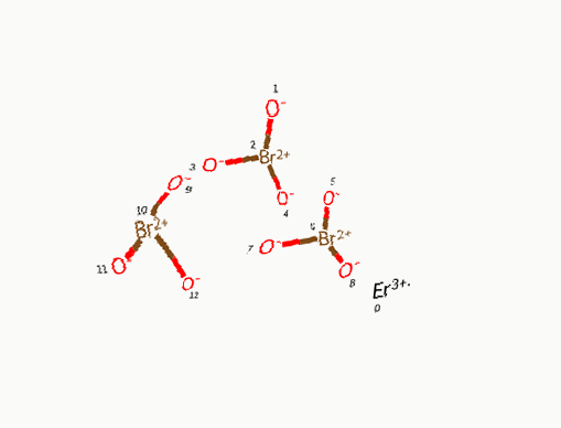 [Er+3].[O-][Br+2]([O-])[O-].[O-][Br+2]([O-])[O-].[O-][Br+2]([O-])[O-]